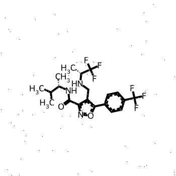 CC(C)[C@H](C)NC(=O)c1noc(-c2ccc(C(F)(F)F)cc2)c1CN[C@H](C)C(F)(F)F